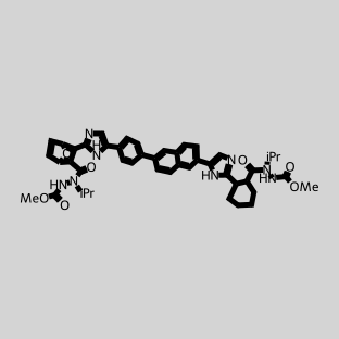 COC(=O)NN(C(=O)c1c(-c2ncc(-c3ccc(-c4ccc5cc(-c6cnc(C7CCCCC7C(=O)N(NC(=O)OC)C(C)C)[nH]6)ccc5c4)cc3)[nH]2)c2ccc1o2)C(C)C